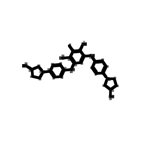 Cc1c(O)c(Nc2ccc(N3CCC(O)C3)cc2)cc(Nc2ccc(N3CCC(O)C3)cc2)c1O